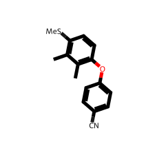 CSc1ccc(Oc2ccc(C#N)cc2)c(C)c1C